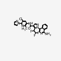 Cc1nc(-n2cccn2)c(Cl)cc1NC(=O)c1cnn(-c2cnc(N)c3ccccc23)c1C(F)C(F)F